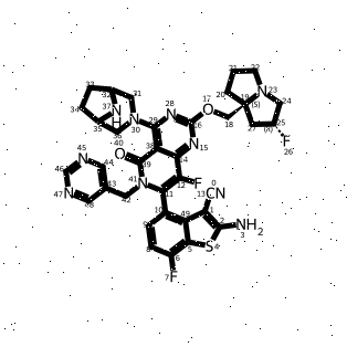 N#Cc1c(N)sc2c(F)ccc(-c3c(F)c4nc(OC[C@@]56CCCN5C[C@H](F)C6)nc(N5CC6CCC(C5)N6)c4c(=O)n3Cc3cncnc3)c12